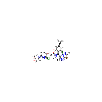 Cc1nn2c3c(nc2s1)CCN(C(=O)COc1ccc(N2CCOCC2)nc1Cl)C3c1ccc(C2CC2)cc1F